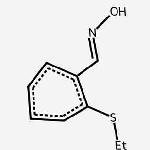 CCSc1ccccc1/C=N/O